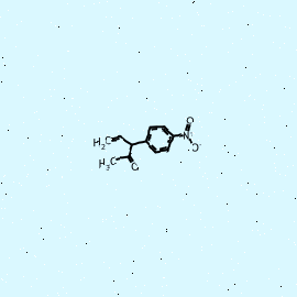 C=CC(C(C)=O)c1ccc([N+](=O)[O-])cc1